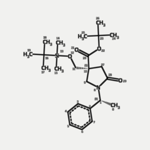 C[C@H](c1ccccc1)N1C[C@@](CO[Si](C)(C)C(C)(C)C)(C(=O)OC(C)(C)C)CC1=O